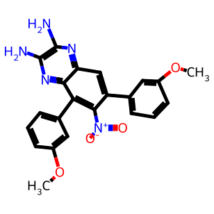 COc1cccc(-c2cc3nc(N)c(N)nc3c(-c3cccc(OC)c3)c2[N+](=O)[O-])c1